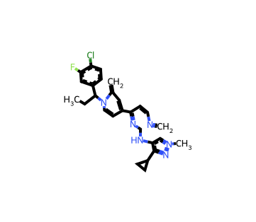 C=N/C=C\C(=N/CNc1cn(C)nc1C1CC1)C1=CC(=C)N(C(CC)c2ccc(Cl)c(F)c2)C=C1